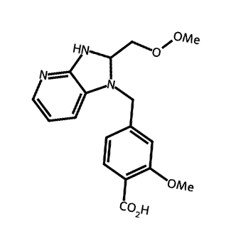 COOCC1Nc2ncccc2N1Cc1ccc(C(=O)O)c(OC)c1